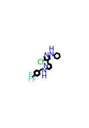 FC(F)(F)c1ccc(CNc2cccc(-c3cc(NC4CCCCC4)ncc3Cl)n2)cc1